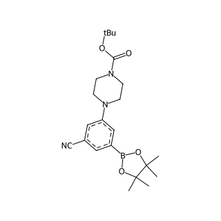 CC(C)(C)OC(=O)N1CCN(c2cc(C#N)cc(B3OC(C)(C)C(C)(C)O3)c2)CC1